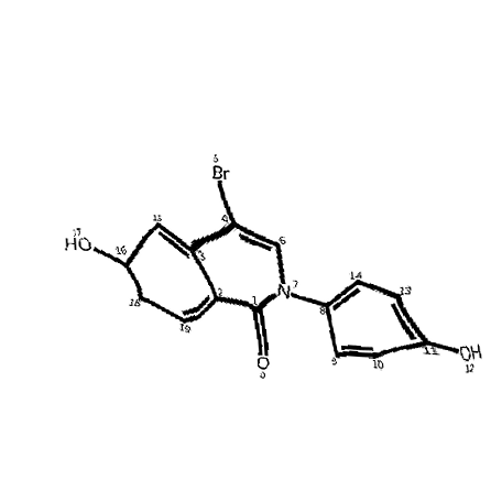 O=c1c2c(c(Br)cn1-c1ccc(O)cc1)=CC(O)CC=2